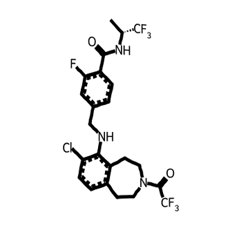 C[C@@H](NC(=O)c1ccc(CNc2c(Cl)ccc3c2CCN(C(=O)C(F)(F)F)CC3)cc1F)C(F)(F)F